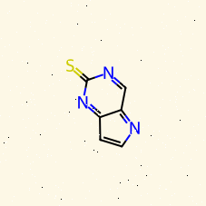 S=C1N=CC2=NC=CC2=N1